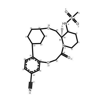 CS(=O)(=O)NC1CCCN2C(=O)COc3cc(C#N)ccc3C3CCC(CC3)OC[C@@H]12